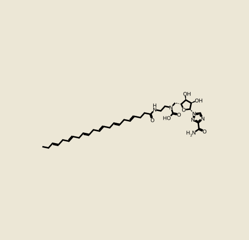 CCC=CCC=CCC=CCC=CCC=CCC=CCCC(=O)NCCN(C[C@H]1O[C@@H](n2cnc(C(N)=O)n2)[C@H](O)[C@@H]1O)C(=O)O